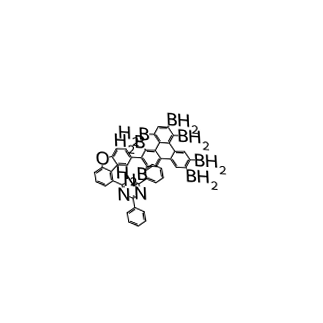 Bc1cc2c(cc1B)c1c(B)c(B)cc(B)c1c1c(B)c(-c3ccc4oc5cccc(-c6nc(-c7ccccc7)nc(-c7ccccc7)n6)c5c4c3)c(B)cc21